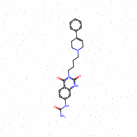 NC(=O)Nc1ccc2c(=O)n(CCCCN3CC=C(c4ccccc4)CC3)c(=O)[nH]c2c1